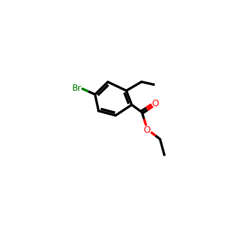 CCOC(=O)c1ccc(Br)cc1CC